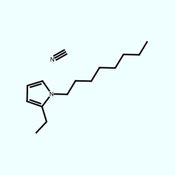 C#N.CCCCCCCCn1cccc1CC